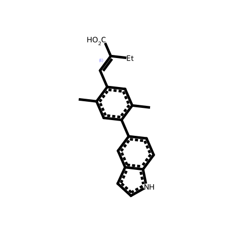 CC/C(=C\c1cc(C)c(-c2ccc3[nH]ccc3c2)cc1C)C(=O)O